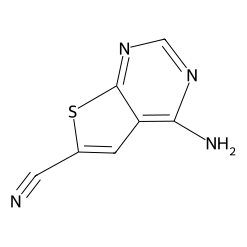 N#Cc1cc2c(N)ncnc2s1